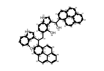 Oc1cccc2[nH]cc(C(Cc3ccc4[nH]cc(C(O)c5ccc6ccc7cccc8ccc5c6c78)c4c3O)c3ccc4c5c3C=CC3=CC=CC(=CC4)C35)c12